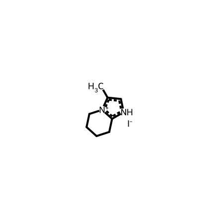 Cc1c[nH]c2[n+]1CCCC2.[I-]